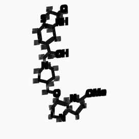 COc1ccc2nccc(OCC3CCN(CC(O)c4ccc5c(c4)NC(=O)CS5)CC3)c2n1